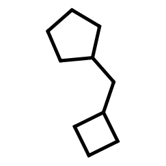 C1CCC(CC2CCC2)C1